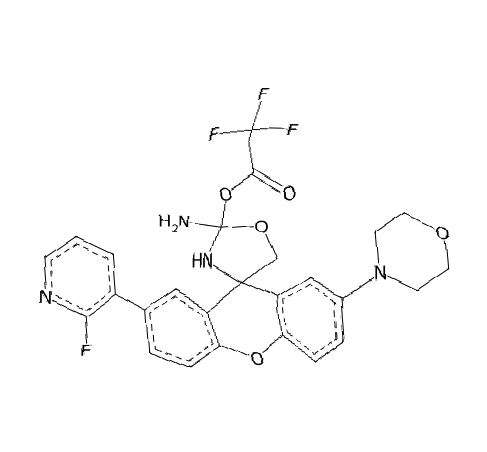 NC1(OC(=O)C(F)(F)F)NC2(CO1)c1cc(-c3cccnc3F)ccc1Oc1ccc(N3CCOCC3)cc12